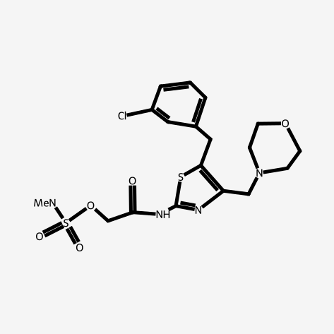 CNS(=O)(=O)OCC(=O)Nc1nc(CN2CCOCC2)c(Cc2cccc(Cl)c2)s1